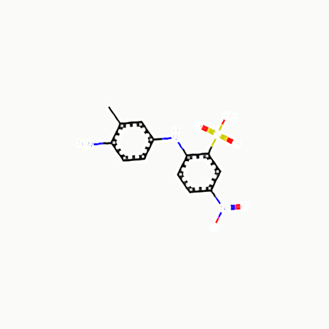 Cc1cc(Nc2ccc([N+](=O)[O-])cc2S(=O)(=O)O)ccc1N